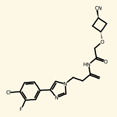 C=C(CCn1cnc(-c2ccc(Cl)c(F)c2)c1)NC(=O)CO[C@H]1C[C@H](C#N)C1